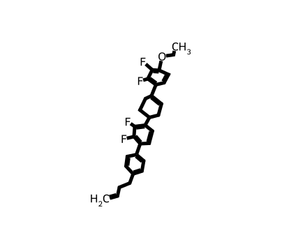 C=CCCc1ccc(-c2ccc(C3CC=C(c4ccc(OCC)c(F)c4F)CC3)c(F)c2F)cc1